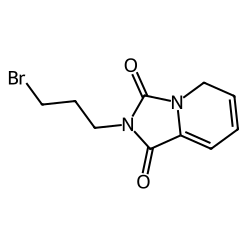 O=C1C2=CC=CCN2C(=O)N1CCCBr